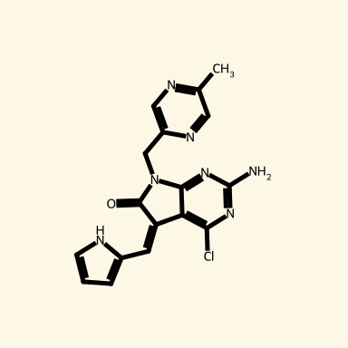 Cc1cnc(CN2C(=O)/C(=C\c3ccc[nH]3)c3c(Cl)nc(N)nc32)cn1